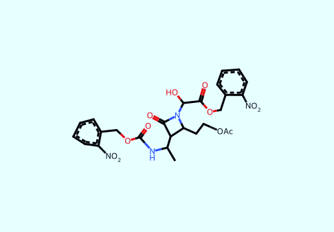 CC(=O)OCCC1C(C(C)NC(=O)OCc2ccccc2[N+](=O)[O-])C(=O)N1C(O)C(=O)OCc1ccccc1[N+](=O)[O-]